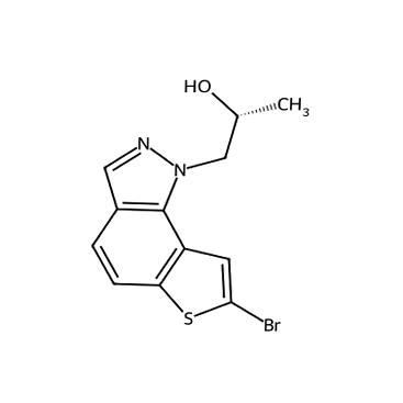 C[C@@H](O)Cn1ncc2ccc3sc(Br)cc3c21